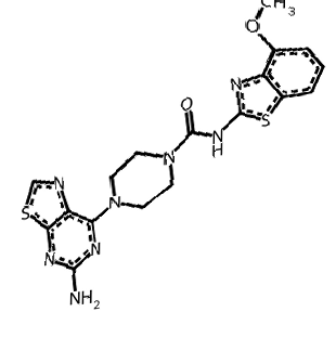 COc1cccc2sc(NC(=O)N3CCN(c4nc(N)nc5scnc45)CC3)nc12